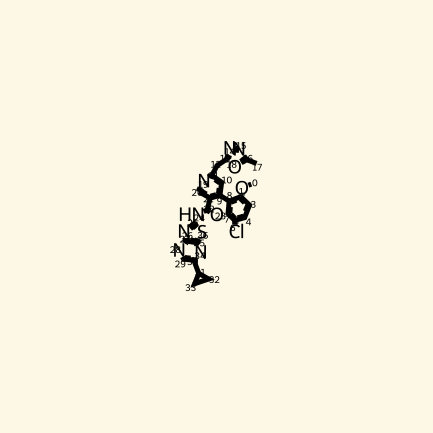 COc1ccc(Cl)cc1-c1cc(Cc2nnc(C)o2)ncc1C(=O)Nc1nc2ncc(C3CC3)nc2s1